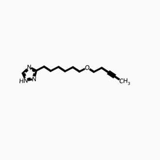 CC#CCCOCCCCCCc1nc[nH]n1